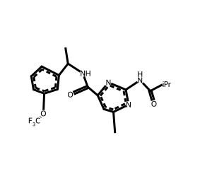 Cc1cc(C(=O)NC(C)c2cccc(OC(F)(F)F)c2)nc(NC(=O)C(C)C)n1